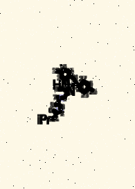 C=C(/C=C\C(=C)/C(C)=C/c1nc(C(Cc2ccc(C)cc2)c2ccc(C)cc2)[nH]c1C)CC(C)C